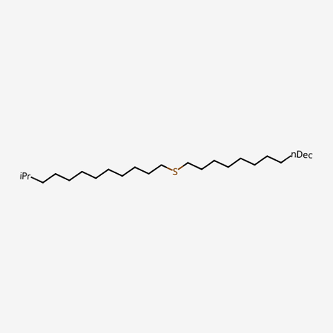 [CH2]CCCCCCCCCCCCCCCCCSCCCCCCCCCCC(C)C